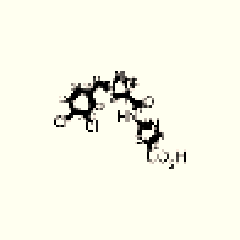 O=C(Nc1ncc(C(=O)O)s1)c1cn(Cc2ccc(Cl)c(Cl)c2)nn1